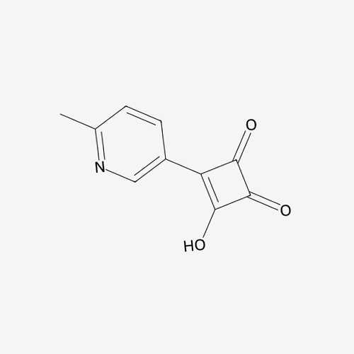 Cc1ccc(-c2c(O)c(=O)c2=O)cn1